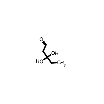 CCC(O)(O)CC=O